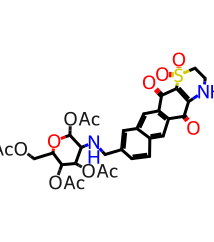 CC(=O)OCC1OC(OC(C)=O)C(NCc2ccc3cc4c(cc3c2)C(=O)C2=C(NCCS2(=O)=O)C4=O)C(OC(C)=O)C1OC(C)=O